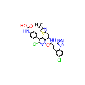 Cc1csc(CC(NC(=O)C=Cc2cc(Cl)ccc2-n2cnnn2)c2cc(-c3ccc(NC(=O)O)cc3)c(Cl)nn2)n1